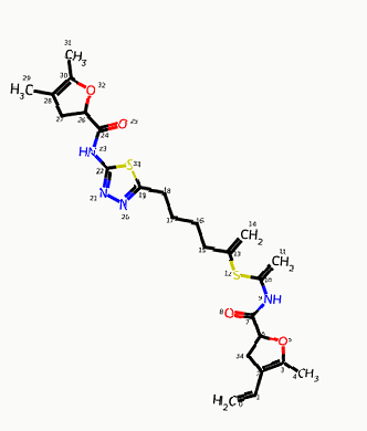 C=CC1=C(C)OC(C(=O)NC(=C)SC(=C)CCCCc2nnc(NC(=O)C3CC(C)=C(C)O3)s2)C1